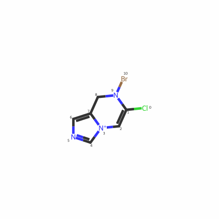 ClC1=C[N+]2C=NC=C2CN1Br